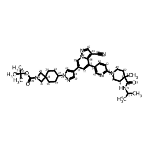 CC(C)NC(=O)C1(C)CCN(c2ccc(-c3cc(-c4cnn(C5CCC6(CC5)CN(C(=O)OC(C)(C)C)C6)c4)cn4ncc(C#N)c34)cn2)CC1